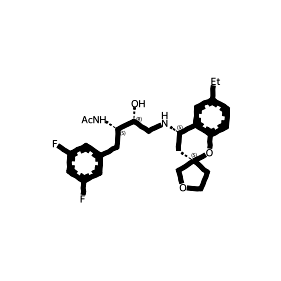 CCc1ccc2c(c1)[C@@H](NC[C@@H](O)[C@H](Cc1cc(F)cc(F)c1)NC(C)=O)C[C@@]1(CCOC1)O2